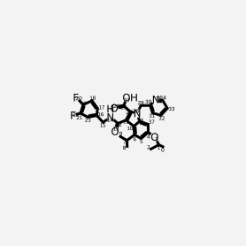 CC(C)Oc1cc(C(C)C)c2c(C(=O)NCc3ccc(F)c(F)c3)c(C(=O)O)n(Cc3ccccn3)c2c1